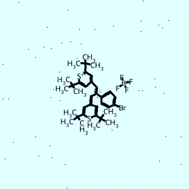 CC(C)(C)C1=CC(=C/C(=C\c2cc(C(C)(C)C)[s+]c(C(C)(C)C)c2)c2ccc(Br)cc2)C=C(C(C)(C)C)S1.F[B-](F)(F)F